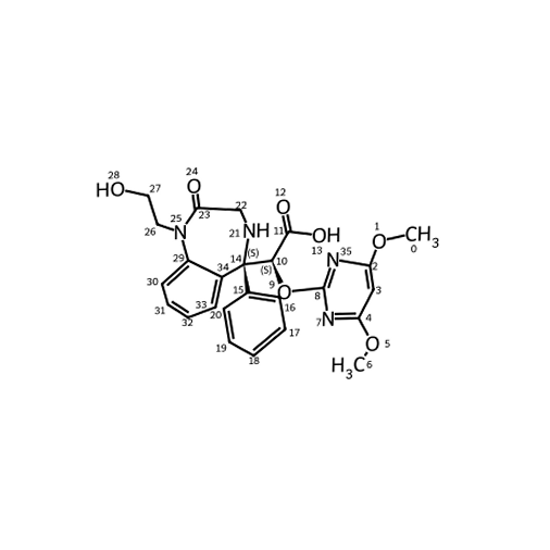 COc1cc(OC)nc(O[C@H](C(=O)O)[C@@]2(c3ccccc3)NCC(=O)N(CCO)c3ccccc32)n1